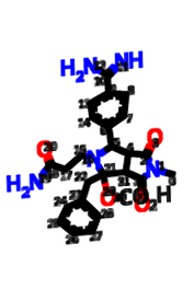 CN1C(=O)C2C(c3ccc(C(=N)N)cc3)N(CCC(N)=O)C(Cc3ccccc3)(OC(=O)O)C2C1=O